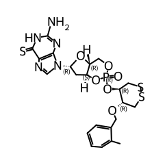 Cc1ccccc1CO[C@H]1CSSC[C@@H]1O[P@]1(=O)OC[C@H]2O[C@@H](n3cnc4c(=S)[nH]c(N)nc43)C[C@@H]2O1